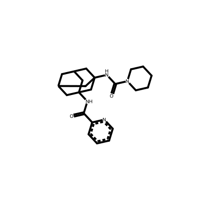 O=C(NC12CC3CC(C1)CC(NC(=O)N1CCCCC1)(C3)C2)c1ccccn1